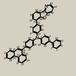 c1ccc(-c2ccc(N(c3ccc(-c4cc5ccccc5c5ccccc45)cc3)c3ccc(-c4cccc5c4oc4cccnc45)cc3)cc2)cc1